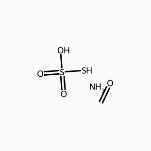 C=O.N.O=S(=O)(O)S